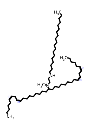 CCCCC/C=C\C/C=C\CCCCCCCCC(CCCCCCCC/C=C\C/C=C\CCCCC)N(C)CCNCCCCCCCCCCCCCCCCCCC